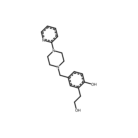 OCCc1cc(CN2CCN(c3ccccn3)CC2)ccc1O